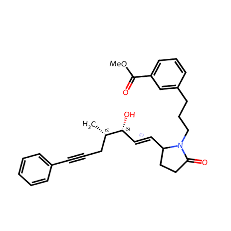 COC(=O)c1cccc(CCCN2C(=O)CCC2/C=C/[C@@H](O)[C@@H](C)CC#Cc2ccccc2)c1